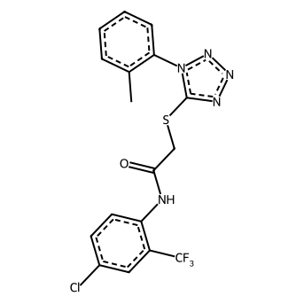 Cc1ccccc1-n1nnnc1SCC(=O)Nc1ccc(Cl)cc1C(F)(F)F